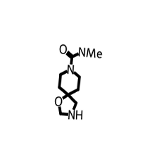 CNC(=O)N1CCC2(CC1)CNCO2